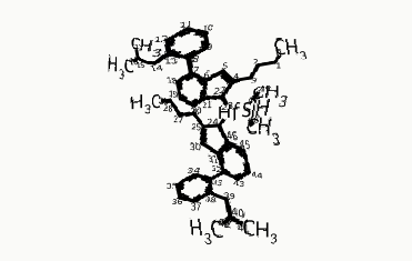 CCCCC1=Cc2c(-c3ccccc3CC(C)C)cccc2[CH]1[Hf]([CH]1C(CCCC)=Cc2c(-c3ccccc3CC(C)C)cccc21)[SiH](C)C